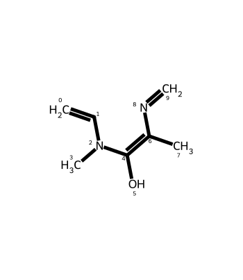 C=CN(C)/C(O)=C(/C)N=C